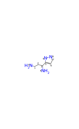 NCCC(N)C1=CC=N[N]1